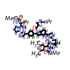 CCCc1ncc(C2Oc3cc(-c4cnc([C@@H]5CCCN5C(=O)C(NC(=O)OC)C(C)C)[nH]4)cc(F)c3-c3cc4cc(-c5cnc([C@@H]6C[C@H]7C[C@H]7N6C(=O)C(NC(=O)OC)C6C[C@@H](C)O[C@@H](C)C6)[nH]5)ccc4n32)s1